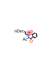 CCCCCCCCCCC=CN1C(C(C)=O)C(=O)c2ccccc2S1(=O)=O